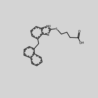 O=C(O)CCCSc1nc2c(Cc3cccc4ccccc34)cccc2[nH]1